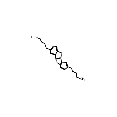 CCCCCc1ccc2sc3c4cc(CCCCC)ccc4sc3c2c1